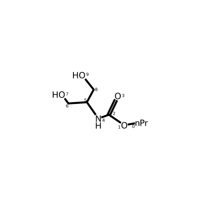 CCCOC(=O)NC(CO)CO